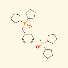 O=P(Cc1cccc(CP(=O)(C2CCCC2)C2CCCC2)c1)(C1CCCC1)C1CCCC1